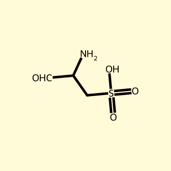 NC(C=O)CS(=O)(=O)O